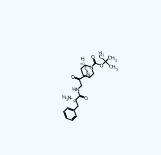 CC(C)(C)OC(=O)N1CC2CC[C@@H]1CN2C(=O)CNC(=O)[C@@H](N)Cc1ccccc1